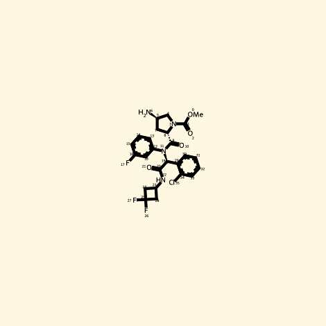 COC(=O)N1C[C@H](N)C[C@H]1C(=O)N(c1cccc(F)c1)[C@H](C(=O)NC1CC(F)(F)C1)c1ccccc1Cl